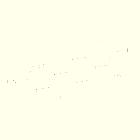 COC(C(C)O)N1CCC(c2ccc(N)cc2C)CC1